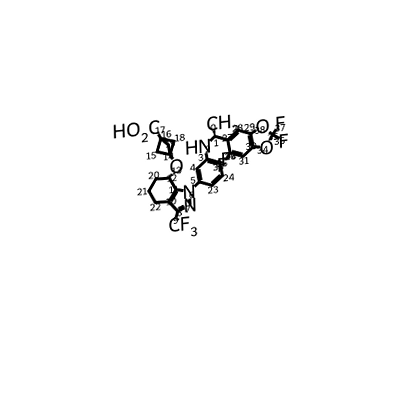 C[C@H](Nc1cc(-n2nc(C(F)(F)F)c3c2[C@H](OC24CC(C(=O)O)(C2)C4)CCC3)ccc1F)c1cc2c(cc1F)OC(F)(F)O2